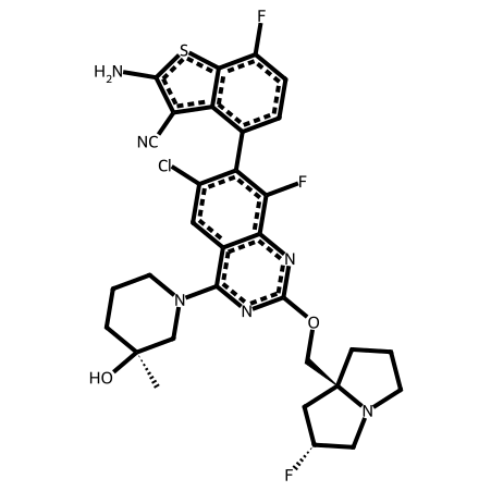 C[C@]1(O)CCCN(c2nc(OC[C@@]34CCCN3C[C@H](F)C4)nc3c(F)c(-c4ccc(F)c5sc(N)c(C#N)c45)c(Cl)cc23)C1